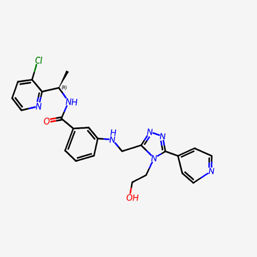 C[C@@H](NC(=O)c1cccc(NCc2nnc(-c3ccncc3)n2CCO)c1)c1ncccc1Cl